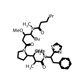 CCC(C)C(C(CC(=O)N1CCCC1C(OC)C(C)C(=O)N(C)C(Cc1ccccc1)c1nccs1)OC)N(C)C(=O)CCC(C)C